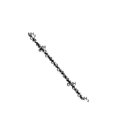 NCCOCCOCCOCCNC(=O)CCOCCOCCOCCOCCOCCOCCOCCOCCOCCC(=O)NCCOCCOCCOCCN